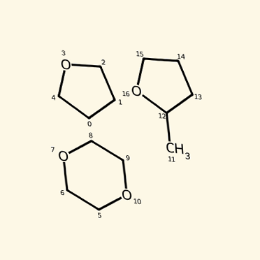 C1CCOC1.C1COCCO1.CC1CCCO1